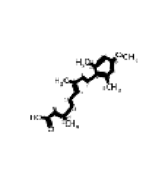 COc1cc(C)c(C=CC(C)=CC=CC(C)=CC(=O)O)c(C)c1